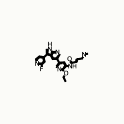 CCOc1ncc(-c2cnc3[nH]cc(-c4ccnc(F)c4)c3c2)cc1NC(=O)/C=C/CN(C)C